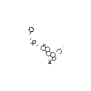 COC1CCN(C(=O)[C@]23CCC(C4(C)CC4)[C@@H]2[C@H]2CC[C@@H]4[C@@]5(C)CC[C@H](OC(=O)[C@H]6C[C@@H](C(=O)OCc7ccccc7)C6(C)C)C(C)(C)[C@@H]5CC[C@@]4(C)[C@]2(C)CC3)CC1